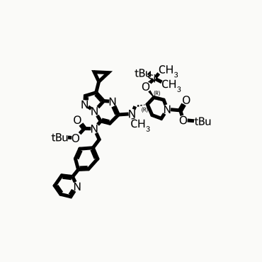 CN(C[C@H]1CCN(C(=O)OC(C)(C)C)C[C@@H]1O[Si](C)(C)C(C)(C)C)c1cc(N(Cc2ccc(-c3ccccn3)cc2)C(=O)OC(C)(C)C)n2ncc(C3CC3)c2n1